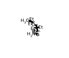 CCC(C)(CC)COCC(CC)(CC)CS(N)(=O)=O